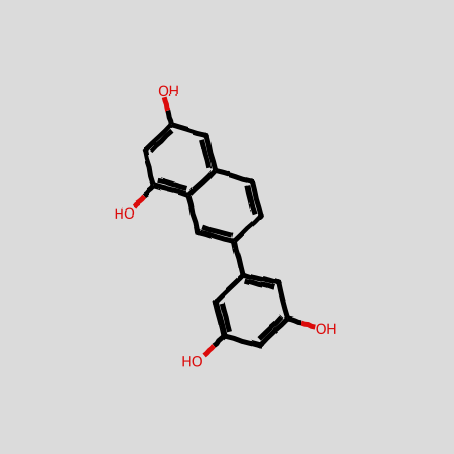 Oc1cc(O)cc(-c2ccc3cc(O)cc(O)c3c2)c1